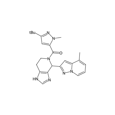 Cc1cccn2nc(C3c4nc[nH]c4CCN3C(=O)c3cc(C(C)(C)C)nn3C)cc12